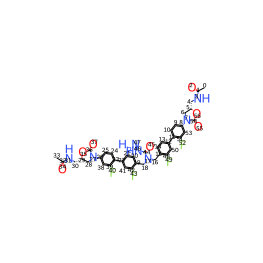 CC(=O)NC[C@H]1CN(c2ccc(-c3ccc(CN(Cc4ccc(-c5ccc(N6C[C@H](CNC(C)=O)OC6=O)cc5F)cc4F)C(=O)NN)c(F)c3)c(F)c2)C(=O)O1